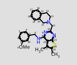 COc1cccc(CNc2nc(CN3CCc4ccccc4C3)nc3sc(C)c(C)c23)c1